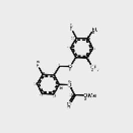 CCc1cc(C(F)(F)F)c(OCc2c(F)cccc2OC(=O)OC)cc1F